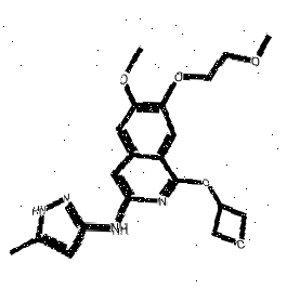 COCCOc1cc2c(OC3COC3)nc(Nc3cc(C)[nH]n3)cc2cc1OC